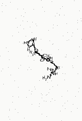 CCN(CCCCOc1ccc(C(=O)/C=C/C(C)=C/C=C(\C)OCCCCN2CCNCCNCCNCC2)c(O)c1)CCNCCNCCN